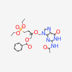 CCOP(=O)(CC[C@H](COC(=O)c1ccccc1)OCn1cnc2c(=O)[nH]c(NC(C)=O)nc21)OCC